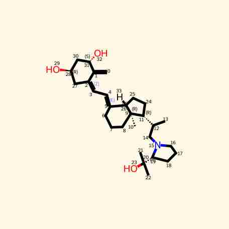 C=C1/C(=C\C=C2/CCC[C@]3(C)[C@@H](C(C)CN4CCC[C@@H]4C(C)(C)O)CC[C@@H]23)C[C@@H](O)C[C@@H]1O